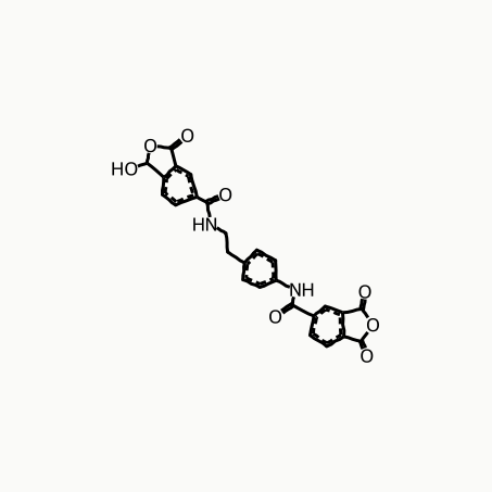 O=C(NCCc1ccc(NC(=O)c2ccc3c(c2)C(=O)OC3=O)cc1)c1ccc2c(c1)C(=O)OC2O